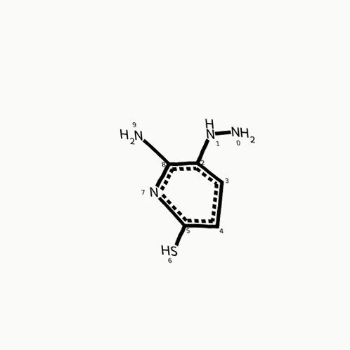 NNc1ccc(S)nc1N